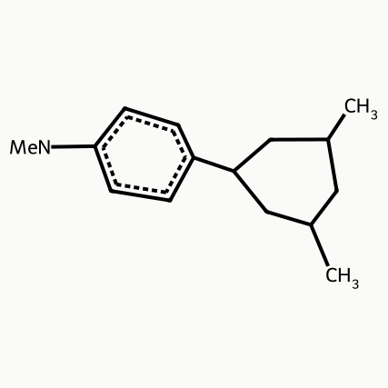 CNc1ccc(C2CC(C)CC(C)C2)cc1